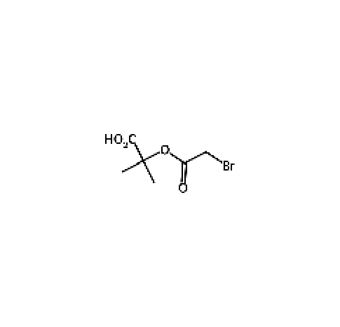 CC(C)(OC(=O)CBr)C(=O)O